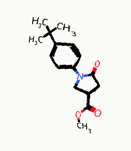 COC(=O)C1CC(=O)N(c2ccc(C(C)(C)C)cc2)C1